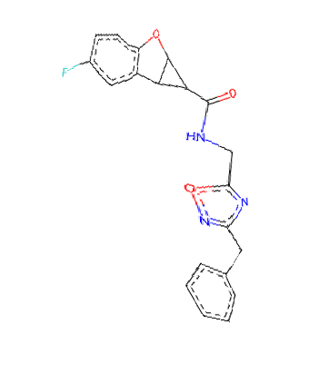 O=C(NCc1nc(Cc2ccccc2)no1)C1C2Oc3ccc(F)cc3C21